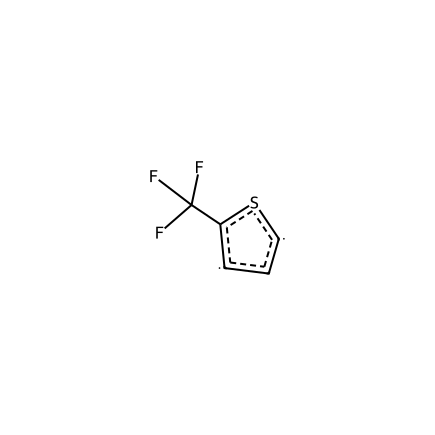 FC(F)(F)c1[c]c[c]s1